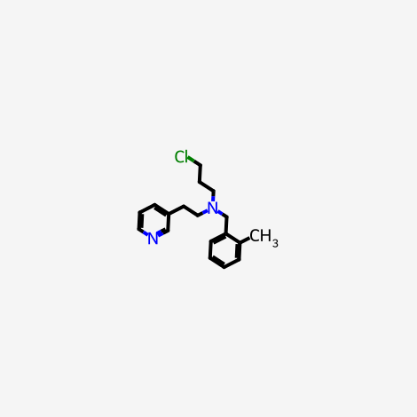 Cc1ccccc1CN(CCCCl)CCc1cccnc1